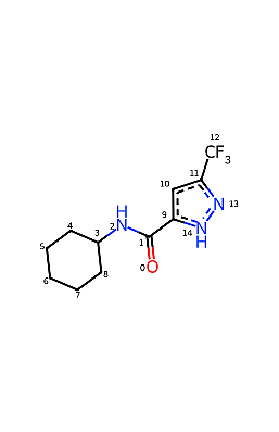 O=C(NC1CCCCC1)c1cc(C(F)(F)F)n[nH]1